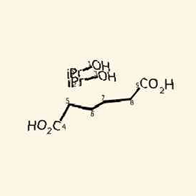 CC(C)O.CC(C)O.O=C(O)CCCCC(=O)O